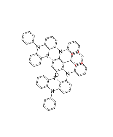 O=P12c3ccccc3N(c3ccccc3)c3cccc(c31)N(c1ccccc1)c1c2cc2c(c1-c1ccccc1)N(c1ccccc1)c1cccc3c1P2c1ccccc1N3c1ccccc1